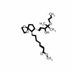 CCCOC(C)(C)C(O)/C=C/[C@H]1CCC2(OCCO2)[C@@H]1CCCC/C=C/C(=O)OC